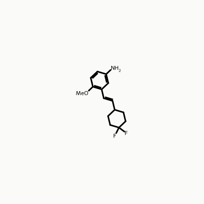 COc1ccc(N)cc1/C=C/C1CCC(F)(F)CC1